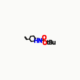 C=C[C@H]1CC[C@H](CNC(=O)OC(C)(C)C)CC1